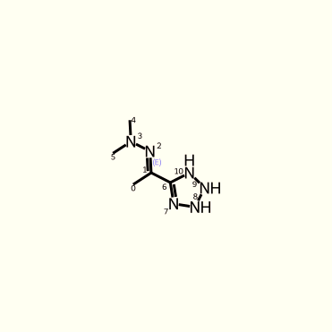 C/C(=N\N(C)C)C1=NNNN1